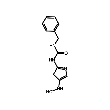 O=C(NCc1ccccc1)Nc1ncc(NO)s1